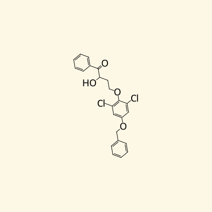 O=C(c1ccccc1)C(O)CCOc1c(Cl)cc(OCc2ccccc2)cc1Cl